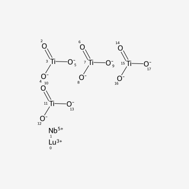 [Lu+3].[Nb+5].[O]=[Ti]([O-])[O-].[O]=[Ti]([O-])[O-].[O]=[Ti]([O-])[O-].[O]=[Ti]([O-])[O-]